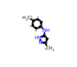 Cc1ccc(Nc2cc(C)n[nH]2)cc1